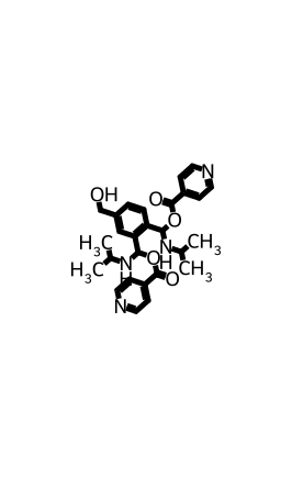 CC(C)NC(OC(=O)c1ccncc1)c1ccc(CO)cc1C(NC(C)C)OC(=O)c1ccncc1